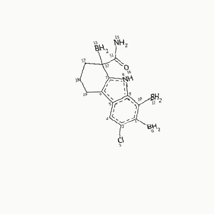 Bc1c(Cl)cc2c3c([nH]c2c1B)C(B)(C(N)=O)CCC3